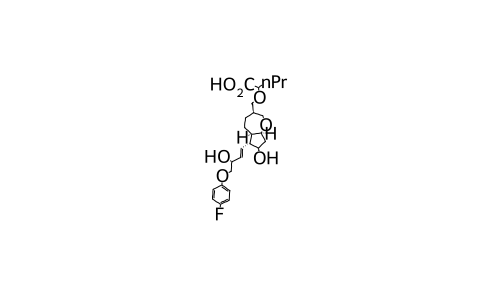 CCCC(OC[C@@H]1CC[C@@H]2[C@@H](C=C[C@@H](O)COc3ccc(F)cc3)[C@H](O)C[C@@H]2OC1)C(=O)O